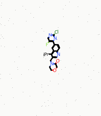 CC(C)c1c(CN2CCOCC2=O)cnc2ccc(-c3nc(Cl)ncc3F)cc12